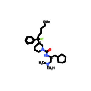 COCCCCC(F)(c1ccccc1)[C@@H]1CCCN(C(=O)N[C@@H](CC2CCCCC2)CN(C)C(=O)O)C1